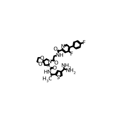 C[C@@H](NC(=O)[C@@H]1CC2(CN1C(=O)CNC(=O)c1cc(F)c(-c3ccc(F)cc3)cn1)OCCO2)c1cc(C(N)N)cs1